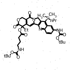 CCC[Si](C)(C)c1c2c(nc3ccc(NC(=O)OC(C)(C)C)cc13)-c1cc3c(c(=O)n1C2)COC(=O)C3(CC)OC(=O)CCCNC(=O)OC(C)(C)C